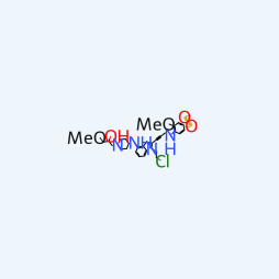 COCC(O)CN1CCC(Nc2cccc3c2cc(C#CCNc2ccc(S(C)(=O)=O)cc2OC)n3CCCl)CC1